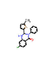 Cc1ccc(C2Nc3cc(F)ccc3C(=O)N2c2ccccc2)s1